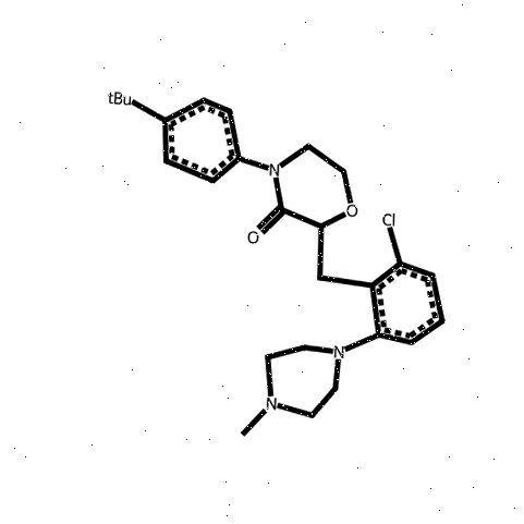 CN1CCN(c2cccc(Cl)c2CC2OCCN(c3ccc(C(C)(C)C)cc3)C2=O)CC1